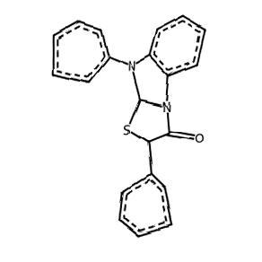 O=C1C(c2ccccc2)SC2N1c1ccccc1N2c1ccccc1